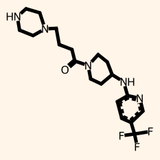 O=C(CCCN1CCNCC1)N1CCC(Nc2ccc(C(F)(F)F)cn2)CC1